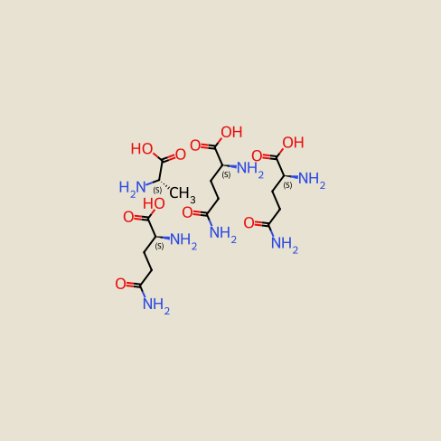 C[C@H](N)C(=O)O.NC(=O)CC[C@H](N)C(=O)O.NC(=O)CC[C@H](N)C(=O)O.NC(=O)CC[C@H](N)C(=O)O